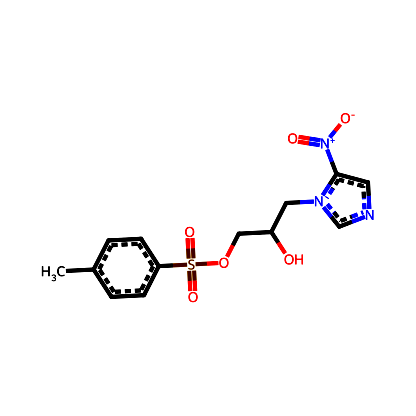 Cc1ccc(S(=O)(=O)OCC(O)Cn2cncc2[N+](=O)[O-])cc1